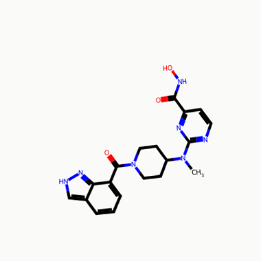 CN(c1nccc(C(=O)NO)n1)C1CCN(C(=O)c2cccc3c[nH]nc23)CC1